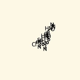 CN(C)CCC=C1c2ccccc2COc2ccccc21.CN(C)CCCN1c2ccccc2Sc2ccc(Cl)cc21.Cc1cnc(C(=O)NCCc2ccc(S(=O)(=O)NC(=O)NC3CCCCC3)cc2)cn1